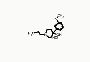 CCCN1CCC(O)(c2cccc(SC)c2)CC1.Cl